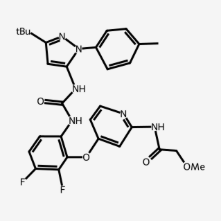 COCC(=O)Nc1cc(Oc2c(NC(=O)Nc3cc(C(C)(C)C)nn3-c3ccc(C)cc3)ccc(F)c2F)ccn1